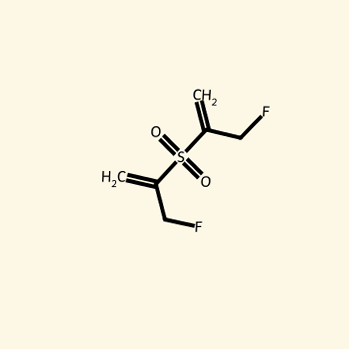 C=C(CF)S(=O)(=O)C(=C)CF